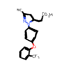 N#CC1=NN(c2ccc(Oc3ccccc3C(F)(F)F)cc2)C(CC(=O)O)C1